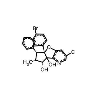 C[C@H]1[C@@H](O)C2(O)c3ncc(Cl)cc3O[C@@]2(c2ccc(Br)cc2)[C@@H]1c1ccccc1